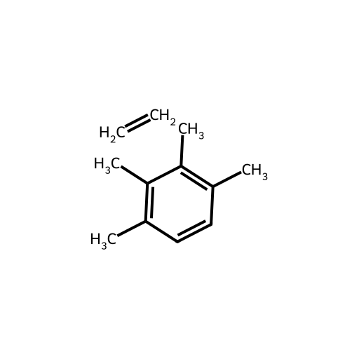 C=C.Cc1ccc(C)c(C)c1C